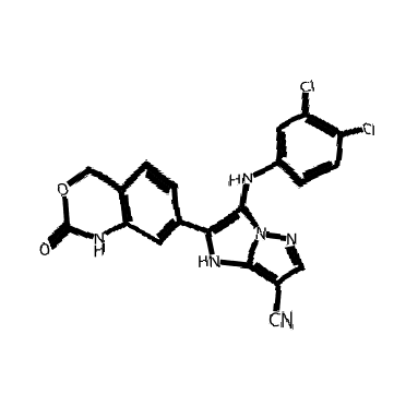 N#Cc1cnn2c(Nc3ccc(Cl)c(Cl)c3)c(-c3ccc4c(c3)NC(=O)OC4)[nH]c12